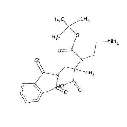 CC(C)(C)OC(=O)N(CCN)C(C)(CN1C(=O)c2ccccc2C1=O)C(=O)O